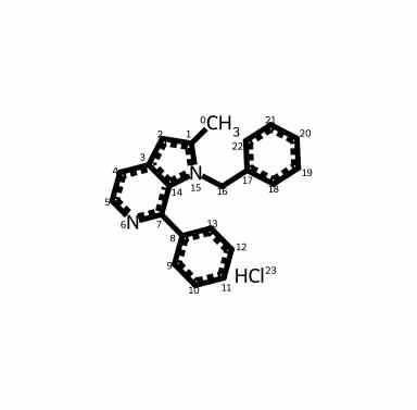 Cc1cc2ccnc(-c3ccccc3)c2n1Cc1ccccc1.Cl